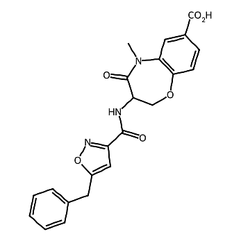 CN1C(=O)C(NC(=O)c2cc(Cc3ccccc3)on2)COc2ccc(C(=O)O)cc21